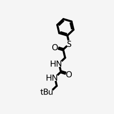 CC(C)(C)CNC(=O)NCC(=O)Sc1ccccc1